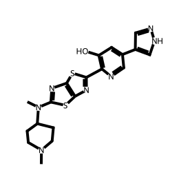 CN1CCC(N(C)c2nc3sc(-c4ncc(-c5cn[nH]c5)cc4O)nc3s2)CC1